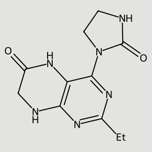 CCc1nc2c(c(N3CCNC3=O)n1)NC(=O)CN2